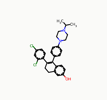 CC(C)N1CCN(c2ccc(C3=C(c4ccc(Cl)cc4Cl)CCc4cc(O)ccc43)cc2)CC1